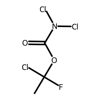 CC(F)(Cl)OC(=O)N(Cl)Cl